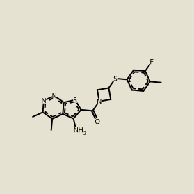 Cc1ccc(SC2CN(C(=O)c3sc4nnc(C)c(C)c4c3N)C2)cc1F